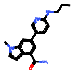 CCCNc1ccc(-c2cc(C(N)=O)c3ccn(C)c3c2)cn1